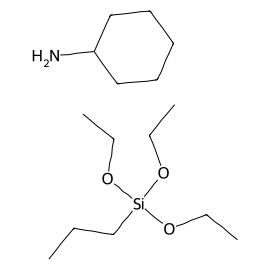 CCC[Si](OCC)(OCC)OCC.NC1CCCCC1